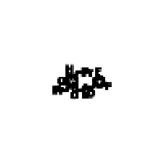 CC(C)C[C@H]1CN(C(=O)c2cc(-c3cc(F)cc(F)c3)on2)[C@@H](CC(C)C)C(=O)N1